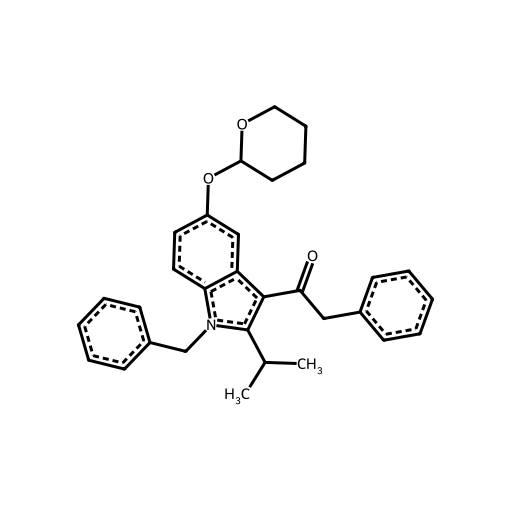 CC(C)c1c(C(=O)Cc2ccccc2)c2cc(OC3CCCCO3)ccc2n1Cc1ccccc1